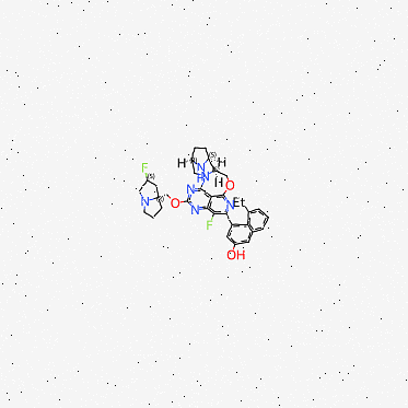 CCc1cccc2cc(O)cc(-c3nc4c5c(nc(OC[C@]67CCCN6C[C@@H](F)C7)nc5c3F)N3C[C@H]5CC[C@H](N5)[C@H]3CO4)c12